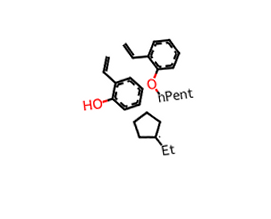 C=Cc1ccccc1O.C=Cc1ccccc1OCCCCC.CC[C]1CCCC1